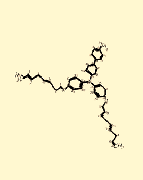 CCCCCCCCOc1ccc(N(c2ccc(OCCCCCCCC)cc2)c2ccc(-c3ccc(N)cc3)cc2)cc1